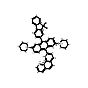 CC1(C)c2ccccc2-c2ccc(-c3c4cc(N5CCCCC5)ccc4c(-c4ccc5ccc6cccnc6c5n4)c4cc(N5CCCCC5)ccc34)cc21